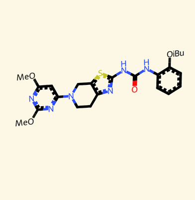 COc1cc(N2CCc3nc(NC(=O)Nc4ccccc4OCC(C)C)sc3C2)nc(OC)n1